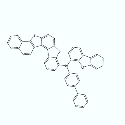 c1ccc(-c2ccc(N(c3cccc4c3oc3ccccc34)c3cccc4c3sc3ccc5sc6c7ccccc7ccc6c5c34)cc2)cc1